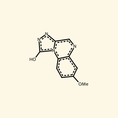 COc1ccc2c(c1)ncc1nnc(O)n12